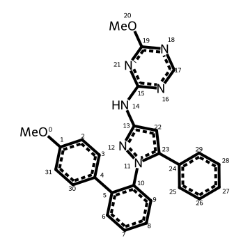 COc1ccc(-c2ccccc2-n2nc(Nc3ncnc(OC)n3)cc2-c2ccccc2)cc1